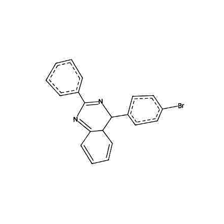 Brc1ccc(C2N=C(c3ccccc3)N=C3C=CC=CC32)cc1